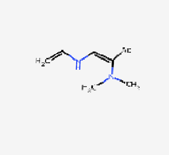 C=CN/C=C(/C(C)=O)N(C)C